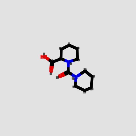 O=C(O)C1CCCCN1C(=O)N1CCCCC1